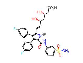 CC(C)n1c(/C=C/[C@@H](O)C[C@@H](O)CC(=O)O)c(-c2ccc(F)cc2)c(-c2ccc(F)cc2)c1C(=O)Nc1cccc(S(N)(=O)=O)c1